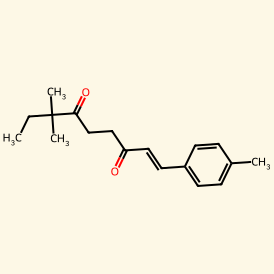 CCC(C)(C)C(=O)CCC(=O)/C=C/c1ccc(C)cc1